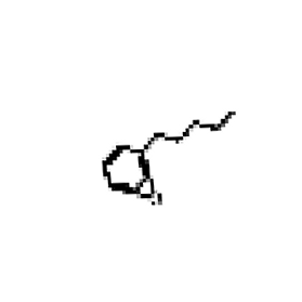 CCCCCc1cccc2c1O2